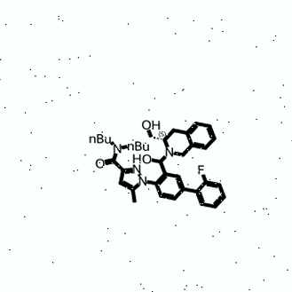 CCCCN(CCCC)C(=O)c1cc(C)n(-c2ccc(-c3ccccc3F)cc2C(O)N2Cc3ccccc3C[C@H]2CO)n1